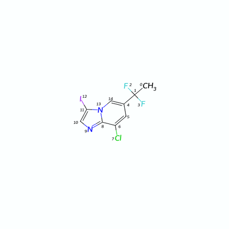 CC(F)(F)c1cc(Cl)c2ncc(I)n2c1